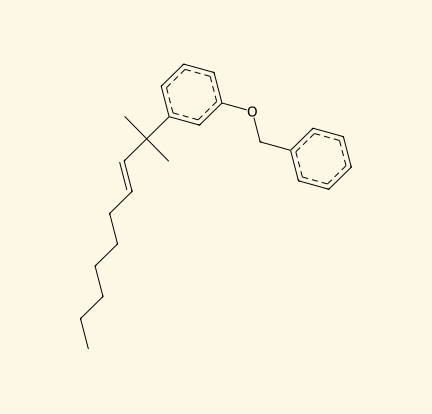 CCCCCC/C=C/C(C)(C)c1cccc(OCc2ccccc2)c1